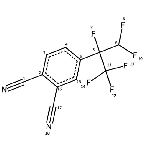 N#Cc1ccc(C(F)(C(F)F)C(F)(F)F)cc1C#N